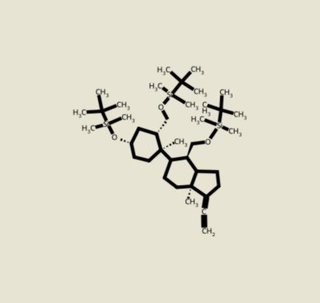 C=C=C1CCC2[C@H](CO[Si](C)(C)C(C)(C)C)C([C@@]3(C)CC[C@H](O[Si](C)(C)C(C)(C)C)C[C@@H]3CO[Si](C)(C)C(C)(C)C)CC[C@]12C